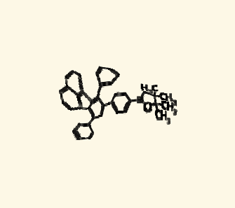 CC1(C)CB(c2ccc(-c3cc(-c4ccccc4)c4c(c3-c3ccccc3)-c3cccc5cccc-4c35)cc2)OC1(C)C